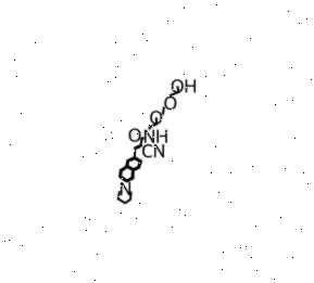 N#C/C(=C\c1ccc2cc(N3CCCCC3)ccc2c1)C(=O)NCCOCCOCCO